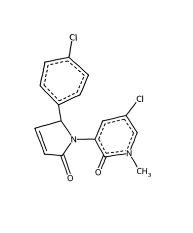 Cn1cc(Cl)cc(N2C(=O)C=CC2c2ccc(Cl)cc2)c1=O